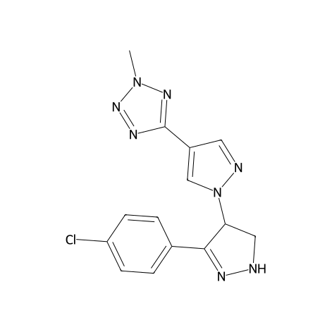 Cn1nnc(-c2cnn(C3CNN=C3c3ccc(Cl)cc3)c2)n1